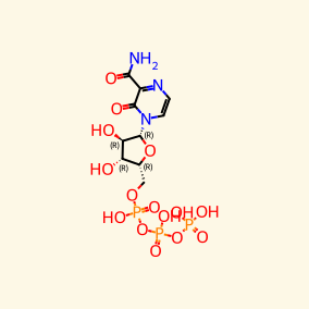 NC(=O)c1nccn([C@@H]2O[C@H](COP(=O)(O)OP(=O)(O)OP(=O)(O)O)[C@H](O)[C@H]2O)c1=O